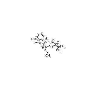 CCCN1CC(NS(=O)(=O)N(C)C)C[C@@H]2c3cccc4[nH]cc(c34)C[C@H]21